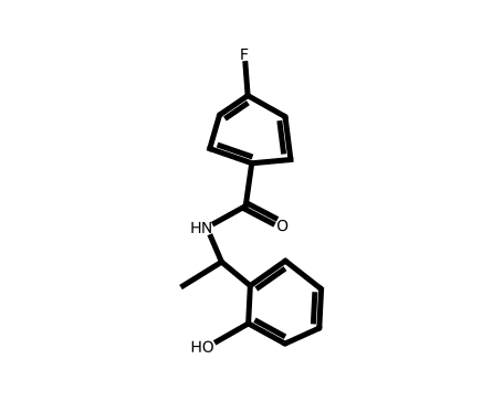 CC(NC(=O)c1ccc(F)cc1)c1ccccc1O